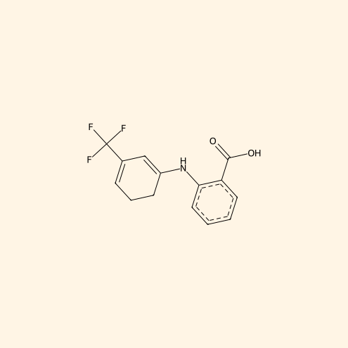 O=C(O)c1ccccc1NC1=CC(C(F)(F)F)=CCC1